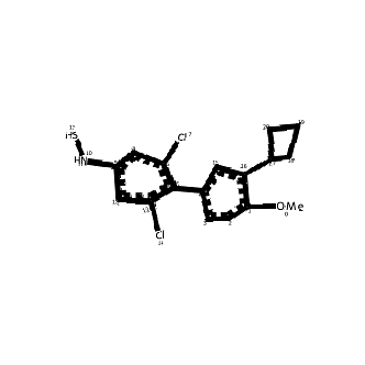 COc1ccc(-c2c(Cl)cc(NS)cc2Cl)cc1C1CCC1